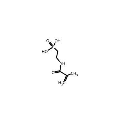 C=C(C)C(=O)NCCP(=O)(O)O